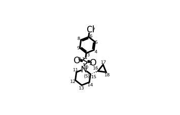 O=S(=O)(c1ccc(Cl)cc1)N1CCCC[C@H]1C1CC1